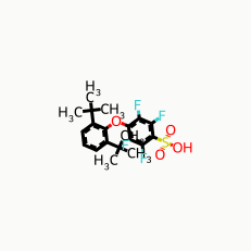 CC(C)(C)c1cccc(C(C)(C)C)c1Oc1c(F)c(F)c(S(=O)(=O)O)c(F)c1F